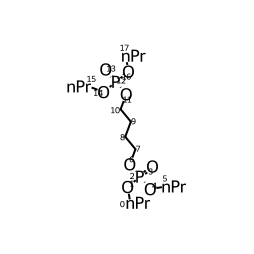 CCCOP(=O)(OCCC)OCCCCOP(=O)(OCCC)OCCC